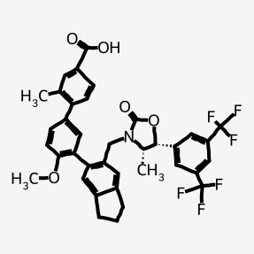 COc1ccc(-c2ccc(C(=O)O)cc2C)cc1-c1cc2c(cc1CN1C(=O)O[C@H](c3cc(C(F)(F)F)cc(C(F)(F)F)c3)[C@@H]1C)CCC2